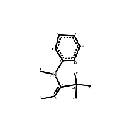 C/C=C(\N(C)c1ccccc1)C(C)(C)C